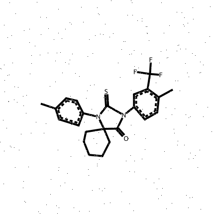 Cc1ccc(N2C(=S)N(c3ccc(C)c(C(F)(F)F)c3)C(=O)C23CCCCC3)cc1